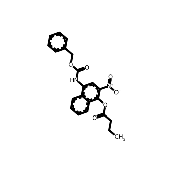 CCCC(=O)Oc1c([N+](=O)[O-])cc(NC(=O)OCc2ccccc2)c2ccccc12